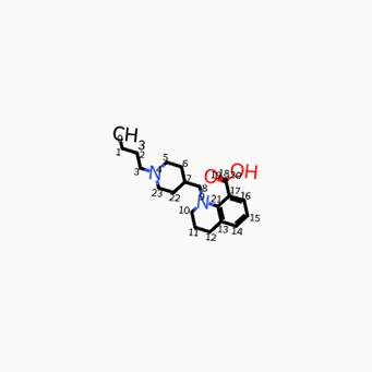 CCCCN1CCC(CN2CCCc3cccc(C(=O)O)c32)CC1